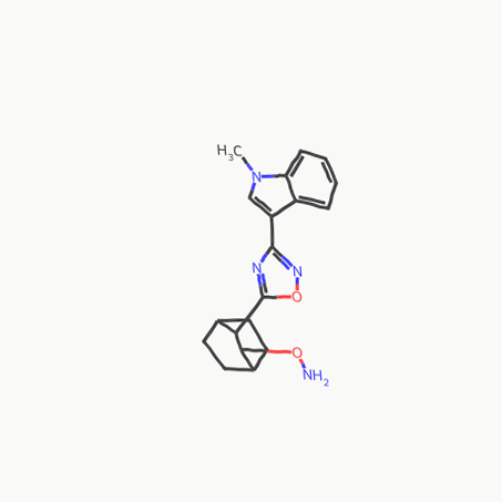 Cn1cc(-c2noc(C3C4CCC(CC4)C3ON)n2)c2ccccc21